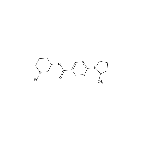 CC(C)N1CCC[C@H](NC(=O)c2ccc(N3CCCC3C)nc2)C1